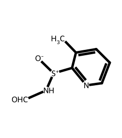 Cc1cccnc1[S+]([O-])NC=O